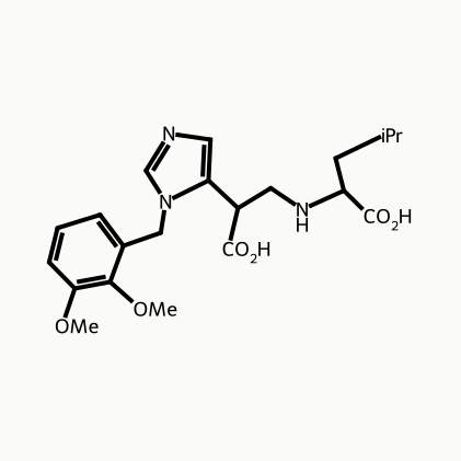 COc1cccc(Cn2cncc2C(CNC(CC(C)C)C(=O)O)C(=O)O)c1OC